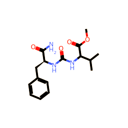 COC(=O)C(NC(=O)N[C@@H](Cc1ccccc1)C(N)=O)C(C)C